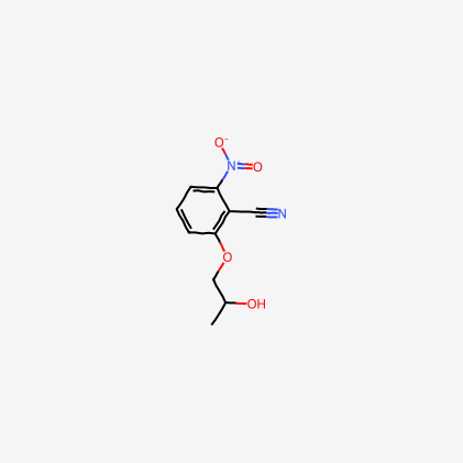 CC(O)COc1cccc([N+](=O)[O-])c1C#N